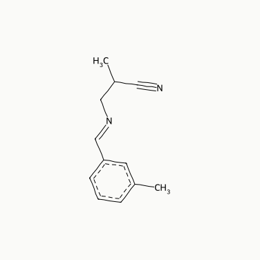 Cc1cccc(C=NCC(C)C#N)c1